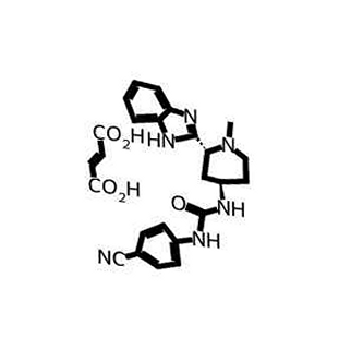 CN1CC[C@@H](NC(=O)Nc2ccc(C#N)cc2)C[C@@H]1c1nc2ccccc2[nH]1.O=C(O)C=CC(=O)O